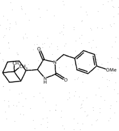 COc1ccc(CN2C(=O)NC(C3CCC4CC3C4(C)C)C2=O)cc1